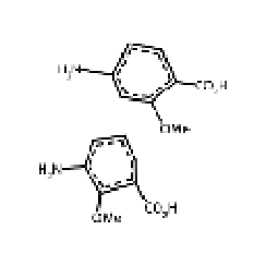 COc1c(N)cccc1C(=O)O.COc1cc(N)ccc1C(=O)O